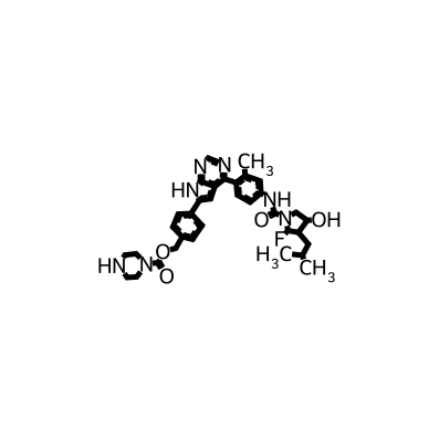 Cc1cc(NC(=O)N2CC(O)C(CC(C)C)C2F)ccc1-c1ncnc2[nH]c(-c3ccc(COC(=O)N4CCNCC4)cc3)cc12